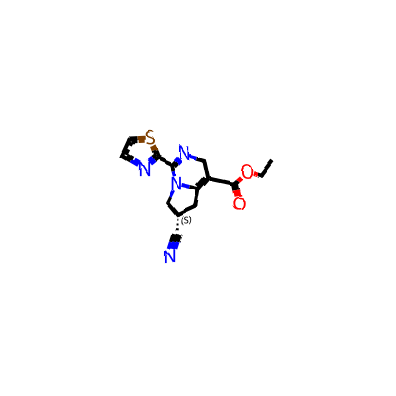 CCOC(=O)C1=C2C[C@H](C#N)CN2C(c2nccs2)=NC1